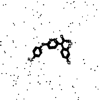 Cc1ccc(Sc2ccc(C(C(N)=O)c3ccc(Cl)cc3Cl)nn2)cc1